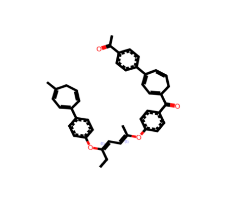 CC/C(=C\C=C(/C)Oc1ccc(C(=O)C2=CC=C(c3ccc(C(C)=O)cc3)C=CC2)cc1)Oc1ccc(C2=CC=C(C)CC=C2)cc1